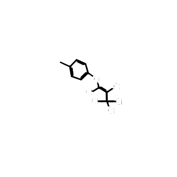 [CH2]c1ccc(OC(Cl)=C(Cl)C(Cl)(Cl)Cl)cc1